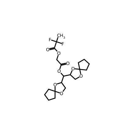 CC(F)(F)C(=O)OCC(=O)OC(C1COC2(CCCC2)O1)C1COC2(CCCC2)O1